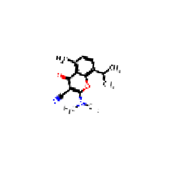 Cc1ccc(C(C)C)c2oc(N(C)C)c(C#N)c(=O)c12